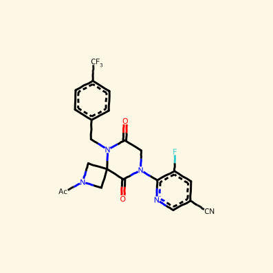 CC(=O)N1CC2(C1)C(=O)N(c1ncc(C#N)cc1F)CC(=O)N2Cc1ccc(C(F)(F)F)cc1